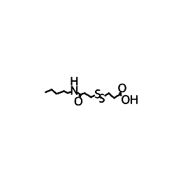 CCCCCNC(=O)CCSSCCC(=O)O